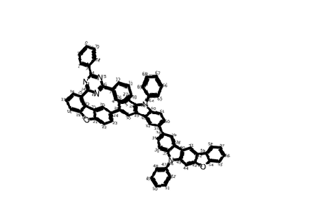 c1ccc(-c2nc(-c3ccccc3)nc(-c3cccc4oc5ccc(-c6ccc7c(c6)c6cc(-c8ccc9c(c8)c8cc%10c(cc8n9-c8ccccc8)oc8ccccc8%10)ccc6n7-c6ccccc6)cc5c34)n2)cc1